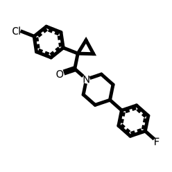 O=C(N1CCC(c2ccc(F)cc2)CC1)C1(c2ccc(Cl)cc2)CC1